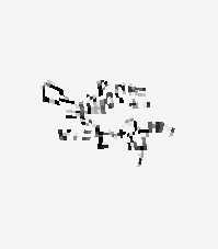 C#C[C@](CCn1cnc2c(N)nc(F)nc21)(COP(=O)(N[C@@H](C)C(=O)OC(CCCCCC)CCCCCC)Oc1ccccc1)OC